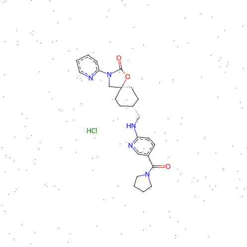 Cl.O=C(c1ccc(NC[C@H]2CC[C@]3(CC2)CN(c2ccccn2)C(=O)O3)nc1)N1CCCC1